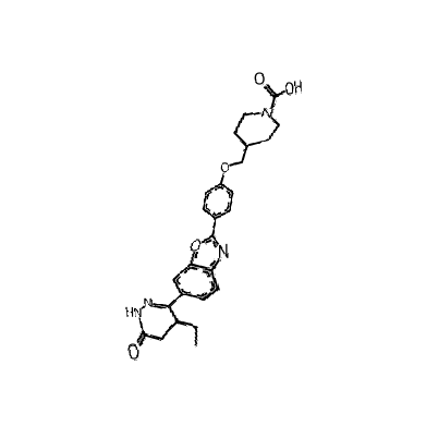 CCC1CC(=O)NN=C1c1ccc2nc(-c3ccc(OCC4CCN(C(=O)O)CC4)cc3)oc2c1